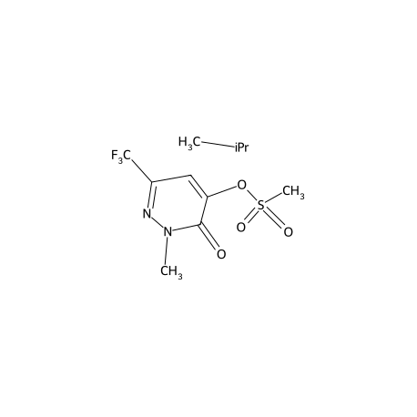 CC(C)C.Cn1nc(C(F)(F)F)cc(OS(C)(=O)=O)c1=O